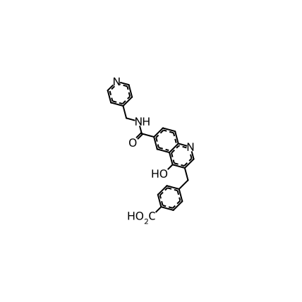 O=C(O)c1ccc(Cc2cnc3ccc(C(=O)NCc4ccncc4)cc3c2O)cc1